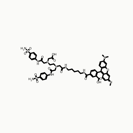 C/N=c1\ccc2c(-c3ccc(C(=O)NCCCCCNC(=O)CN(CCN(CC(=O)O)CC(=O)Nc4ccc(S(N)(=O)=O)cc4)CC(=O)Nc4ccc(S(N)(=O)=O)cc4)cc3C(=O)O)c3ccc(N(C)C)cc3oc-2c1